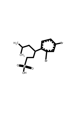 CC(C)CC(CCS(=O)(=O)O)c1ccc(Br)cc1Br